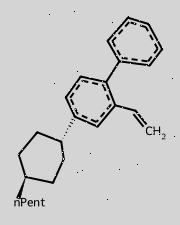 C=Cc1cc([C@H]2CC[C@H](CCCCC)CC2)ccc1-c1ccccc1